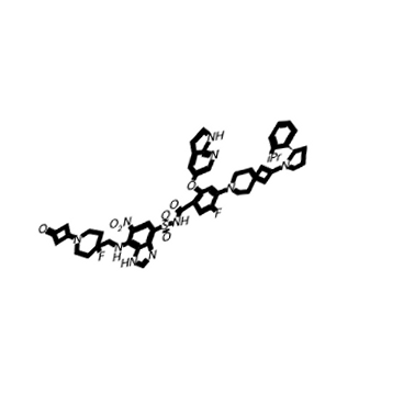 CC(C)c1ccccc1[C@@H]1CCCN1C1CC2(CCN(c3cc(Oc4cnc5[nH]ccc5c4)c(C(=O)NS(=O)(=O)c4cc([N+](=O)[O-])c(NCC5(F)CCN(C6CC(=O)C6)CC5)c5[nH]cnc45)cc3F)CC2)C1